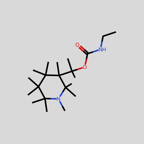 CCNC(=O)OC(C)(C)C1(C)C(C)(C)N(C)C(C)(C)C(C)(C)C1(C)C